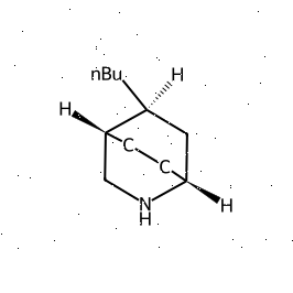 CCCC[C@H]1C[C@H]2CC[C@@H]1CN2